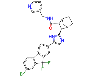 O=C(NCc1cccnc1)[C@@H]1C2CCC(C2)[C@H]1c1ncc(-c2ccc3c(c2)C(F)(F)c2cc(Br)ccc2-3)[nH]1